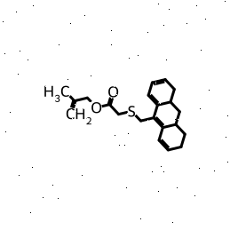 C=C(C)COC(=O)CSCC1=C2C=CCCC2CC2CC=CC=C12